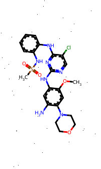 COc1cc(N2CCOCC2)c(N)cc1Nc1ncc(Cl)c(Nc2ccccc2NS(C)(=O)=O)n1